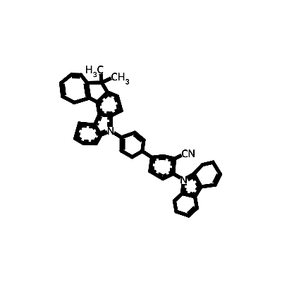 CC1(C)C2=C(CC=CC=C2)c2c1ccc1c2c2ccccc2n1C1=CCC(c2ccc(-n3c4c(c5c3CCC=C5)C=CCC4)c(C#N)c2)C=C1